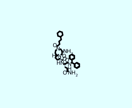 NC(=O)CC[C@H](NC(=O)[C@@H]1CC[C@@H]2CCN(C(=O)CCCC3CCCCC3)C[C@H](N)C(=O)N21)C(=O)NC(c1ccccc1)c1ccccc1